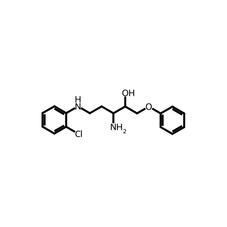 NC(CCNc1ccccc1Cl)C(O)COc1ccccc1